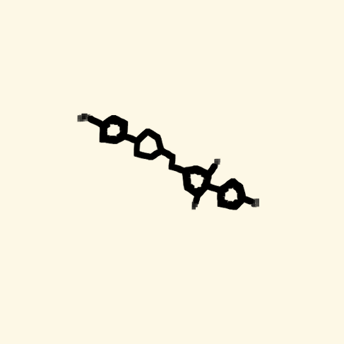 CCCc1ccc(C2CCC(CCc3cc(F)c(-c4ccc(Cl)cc4)c(F)c3)CC2)cc1